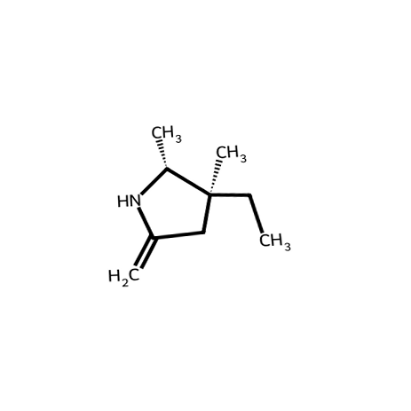 C=C1C[C@](C)(CC)[C@@H](C)N1